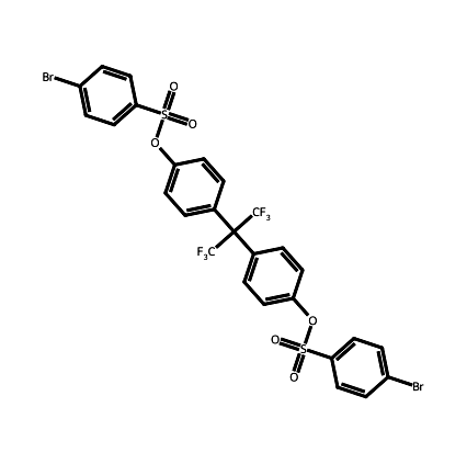 O=S(=O)(Oc1ccc(C(c2ccc(OS(=O)(=O)c3ccc(Br)cc3)cc2)(C(F)(F)F)C(F)(F)F)cc1)c1ccc(Br)cc1